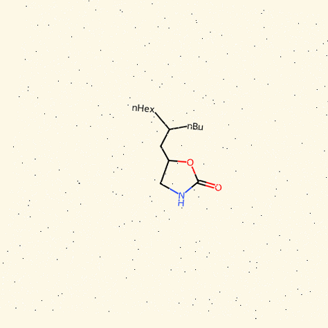 CCCCCCC(CCCC)CC1CNC(=O)O1